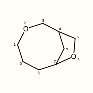 C1COCC2COC(C1)C2